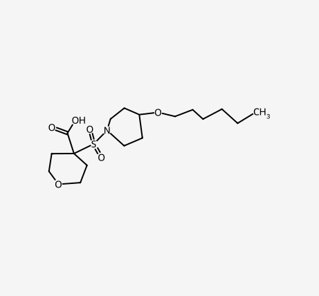 CCCCCCOC1CCN(S(=O)(=O)C2(C(=O)O)CCOCC2)CC1